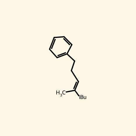 CCC(C)C(C)=CCCc1ccccc1